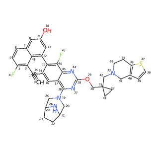 C#Cc1c(F)ccc2cc(O)cc(-c3c(C(C)C)cc4c(N5CC6CCC(C5)N6)nc(OCC5(CN6CCc7sccc7C6)CC5)nc4c3F)c12